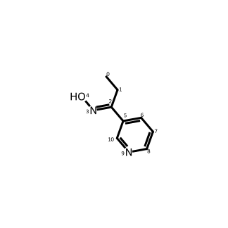 CCC(=NO)c1cccnc1